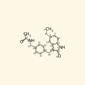 CCc1ccc2[nH]c(=O)n(Cc3ccc(CNC(C)=O)cc3)c2c1